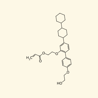 C=CC(=O)OCCOc1cc(C2CCC(C3CCCCC3)CC2)ccc1-c1ccc(OCCO)cc1